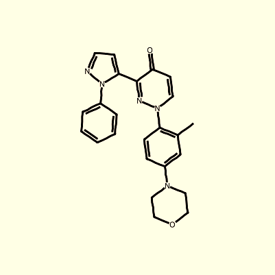 Cc1cc(N2CCOCC2)ccc1-n1ccc(=O)c(-c2ccnn2-c2ccccc2)n1